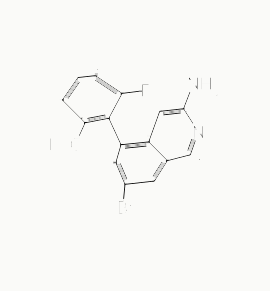 Cc1cccc(F)c1-c1cc(Br)cc2cnc(N)cc12